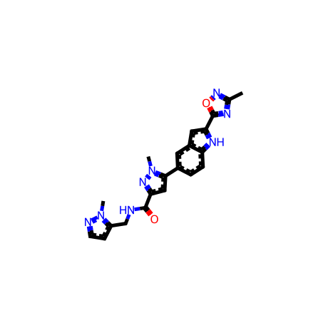 Cc1noc(-c2cc3cc(-c4cc(C(=O)NCc5ccnn5C)nn4C)ccc3[nH]2)n1